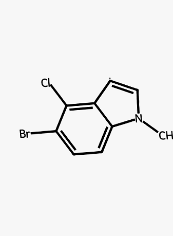 Cn1c[c]c2c(Cl)c(Br)ccc21